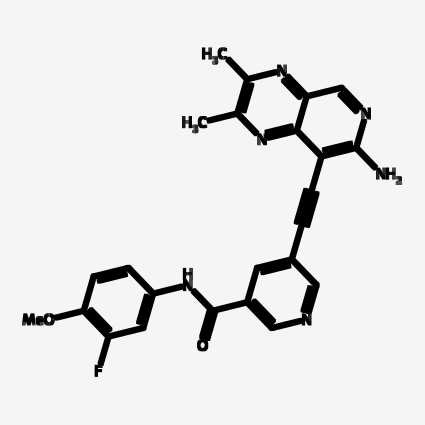 COc1ccc(NC(=O)c2cncc(C#Cc3c(N)ncc4nc(C)c(C)nc34)c2)cc1F